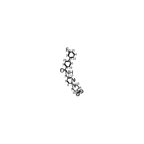 O=C(NCc1ccc(N2CCS(=O)(=O)CC2)nc1)c1ccc(-c2cccc(F)c2)cc1